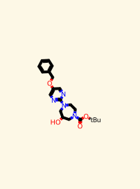 CC(C)(C)OC(=O)N1CCN(c2ncc(OCc3ccccc3)cn2)CC(O)C1